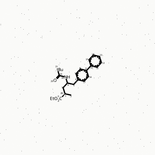 CCOC(=O)[C@H](C)CC(Cc1ccc(-c2ccccc2)cc1)NC(=O)C(C)(C)C